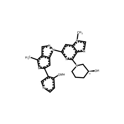 COc1ccncc1-c1cc2c(cnn2-c2cc3c(ncn3C)c(N3CCC[C@H](O)C3)n2)c(C)n1